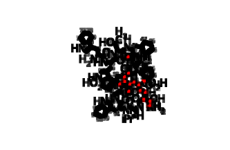 CC(C)C[C@@H](NC(=O)[C@H](NC(=O)[C@@H](CO)NC(=O)[C@H]1CCCN1C(=O)[C@@H](CC(C)C)NC(=O)[C@@H](Cc1ccccc1)NC(=O)[C@@H](Cc1ccccc1)NC(=O)[C@H](NC(=O)[C@@H](Cc1c[nH]c2ccccc12)NC(=O)[C@H](N)Cc1c[nH]c2ccccc12)C(C)O)C(C)O)C(=O)N[C@H](Cc1c[nH]c2ccccc12)C(=O)N[C@H](CCC(=O)O)C(=O)N[C@H](CCCNC(=N)N)C(=O)N[C@H](CCCCN)C(=O)O